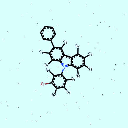 [2H]c1c([2H])c(Br)c([2H])c(-n2c3c([2H])c([2H])c([2H])c([2H])c3c3c([2H])c(-c4ccccc4)c([2H])c([2H])c32)c1[2H]